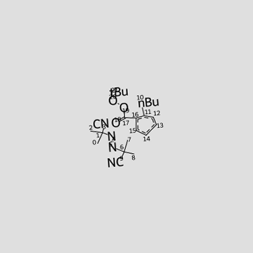 CC(C)(C#N)N=NC(C)(C)C#N.CCCCc1ccccc1C(=O)OOC(C)(C)C